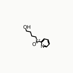 [O-][S+](CCCCO)c1ccccn1